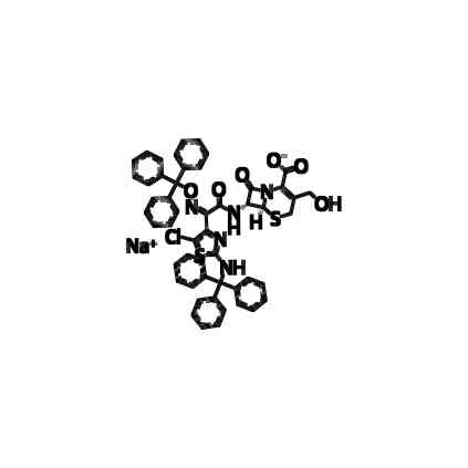 O=C([O-])C1=C(CO)CS[C@H]2[C@H](NC(=O)/C(=N\OC(c3ccccc3)(c3ccccc3)c3ccccc3)c3nc(NC(c4ccccc4)(c4ccccc4)c4ccccc4)sc3Cl)C(=O)N12.[Na+]